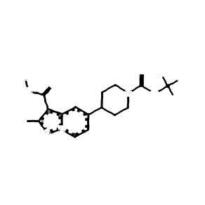 COC(=O)c1c(C)nn2ccc(C3CCN(C(=O)OC(C)(C)C)CC3)cc12